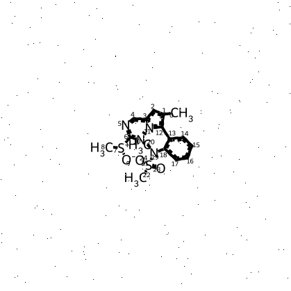 Cc1cc2cnc([S+](C)[O-])nn2c1-c1ccccc1N(C)S(C)(=O)=O